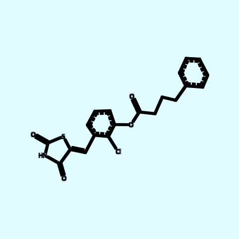 O=C(CCCc1ccccc1)Oc1cccc(/C=C2\SC(=O)NC2=O)c1Cl